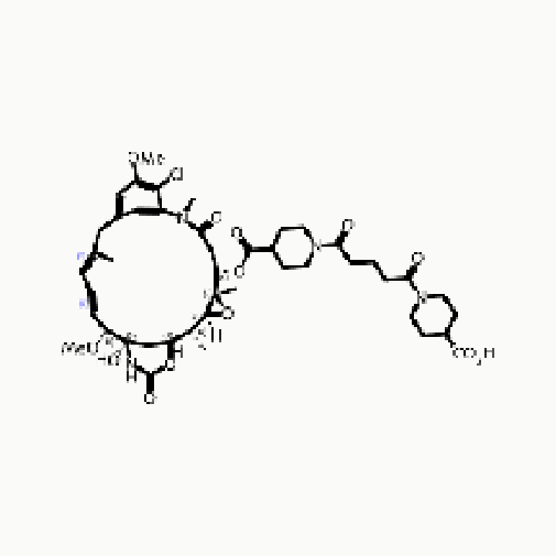 COc1cc2cc(c1Cl)N(C)C(=O)C[C@H](OC(=O)C1CCN(C(=O)CCCC(=O)N3CCC(C(=O)O)CC3)CC1)[C@]1(C)O[C@H]1[C@H](C)[C@@H]1C[C@@](O)(NC(=O)O1)[C@H](OC)/C=C/C=C(\C)C2